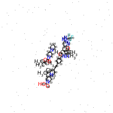 CC(C)(C)C1CC(C#Cc2ccc(C(=O)NC3C(C)(C)C(OC4=Nn5c(nnc5C(F)(F)F)CC4)C3(C)C)cc2)CCN1C1CCN(C(=O)O)CC1.CC(C)(C)OC(=O)N1CCC(N2CCCCC2)CC1